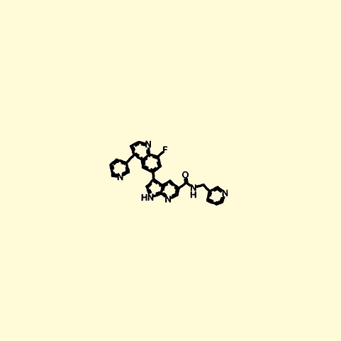 O=C(NCc1cccnc1)c1cnc2[nH]cc(-c3cc(F)c4nccc(-c5cccnc5)c4c3)c2c1